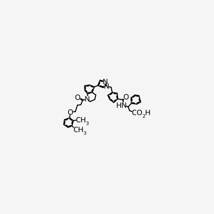 Cc1cccc(OCCCC(=O)N2CCCc3c(-c4cnn(Cc5cccc(C(=O)NC(CC(=O)O)c6ccccc6)c5)c4)cccc32)c1C